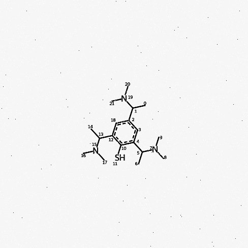 CC(c1cc(C(C)N(C)C)c(S)c(C(C)N(C)C)c1)N(C)C